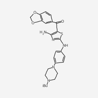 CCC(C)N1CCN(c2ccc(Nc3nc(N)c(C(=O)c4ccc5c(c4)OCO5)s3)cc2)CC1